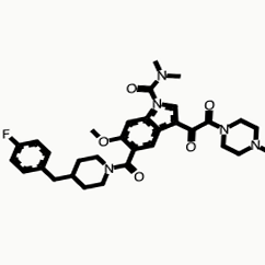 COc1cc2c(cc1C(=O)N1CCC(Cc3ccc(F)cc3)CC1)c(C(=O)C(=O)N1CCN(C)CC1)cn2C(=O)N(C)C